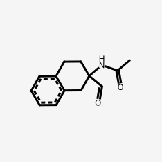 CC(=O)NC1(C=O)CCc2ccccc2C1